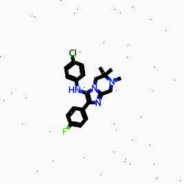 CN1Cc2nc(-c3ccc(F)cc3)c(Nc3ccc(Cl)cc3)n2CC1(C)C